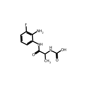 CC(NC(=O)O)C(=O)Nc1cccc(F)c1N